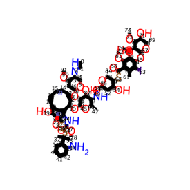 CCN[C@H]1CO[C@@H](O[C@H]2[C@H](O[C@H]3C#C/C=C\C#C[C@]4(O)CC(=O)C(NC(=O)OC)=C3/C4=C\CSSC(C)(C)c3ccccc3N)O[C@H](C)[C@@H](NO[C@H]3C[C@H](O)[C@H](SC(=O)c4c(C)c(I)c(O[C@@H]5O[C@@H](C)[C@H](O)[C@@H](OC)[C@H]5O)c(OC)c4OC)[C@@H](C)O3)[C@@H]2O)C[C@@H]1OC